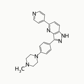 CN1CCN(c2ccc(-c3n[nH]c4ccc(-c5ccncc5)nc34)cc2)CC1